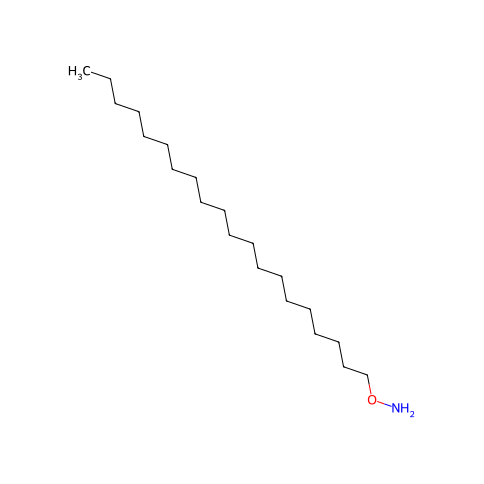 CCCCCCCCCCCCCCCCCCCCON